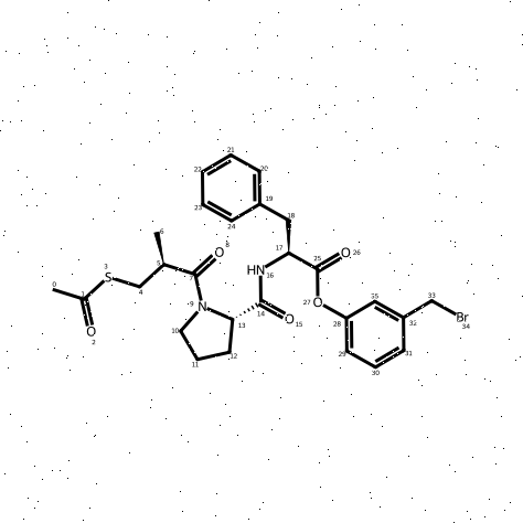 CC(=O)SC[C@@H](C)C(=O)N1CCC[C@H]1C(=O)N[C@@H](Cc1ccccc1)C(=O)Oc1cccc(CBr)c1